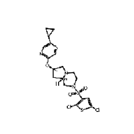 O=S(=O)(c1cc(Cl)sc1Cl)N1CCN2C[C@H](Oc3cnc(C4CC4)cn3)C[C@H]2C1